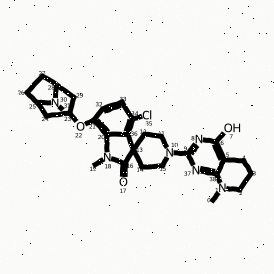 CN1CCCc2c(O)nc(N3CCC4(CC3)C(=O)N(C)c3c(OC5CC6CCC(C5)N6C)ccc(Cl)c34)nc21